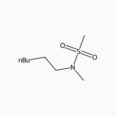 CCCCCCN(C)S(C)(=O)=O